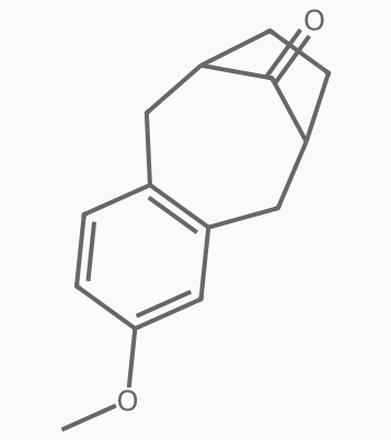 COc1ccc2c(c1)CC1CCC(C2)C1=O